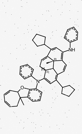 CC12CC=CC=CC1Oc1c(N(C3=CC(C4CCCC4)=C4C=CC5=C(Nc6ccccc6)C=C(C6CCCC6)C6=CC[C@H]3C4[C@]65C)c3ccccc3)cccc12